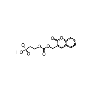 O=C(OCCS(=O)(=O)O)OCc1cc2ccccc2oc1=O